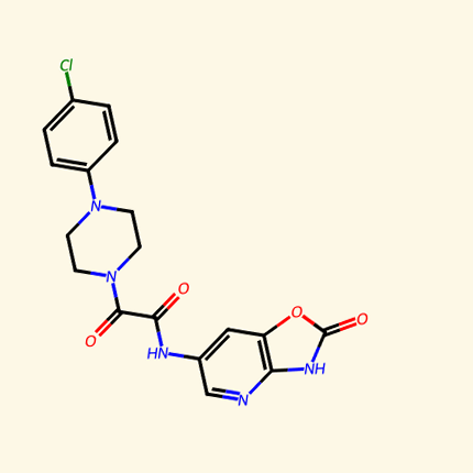 O=C(Nc1cnc2[nH]c(=O)oc2c1)C(=O)N1CCN(c2ccc(Cl)cc2)CC1